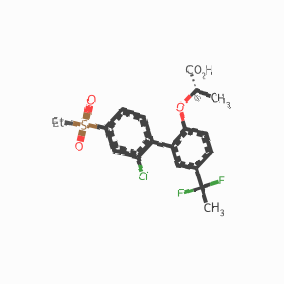 CCS(=O)(=O)c1ccc(-c2cc(C(C)(F)F)ccc2O[C@@H](C)C(=O)O)c(Cl)c1